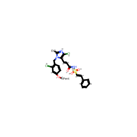 CCCCCOc1ccc(Cn2c(CC)nc(Cl)c2/C=C/C(=O)NS(=O)(=O)/C=C/c2ccccc2)c(Cl)c1